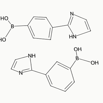 OB(O)c1ccc(-c2ncc[nH]2)cc1.OB(O)c1cccc(-c2ncc[nH]2)c1